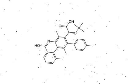 Cc1ccc(-c2c([C@H](OC(C)(C)C)C(=O)O)c(C)c3nc(O)c4cccc(C)c4c3c2C)cc1